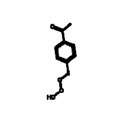 CC(=O)c1ccc(SOOO)cc1